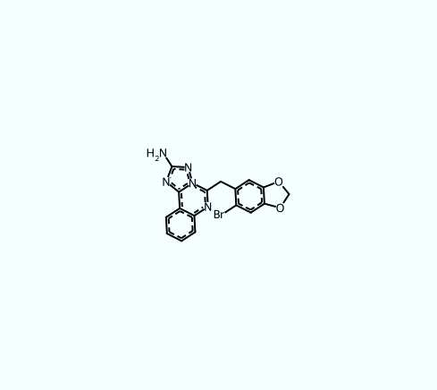 Nc1nc2c3ccccc3nc(Cc3cc4c(cc3Br)OCO4)n2n1